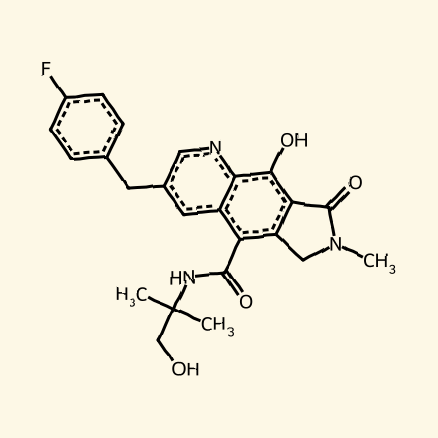 CN1Cc2c(c(O)c3ncc(Cc4ccc(F)cc4)cc3c2C(=O)NC(C)(C)CO)C1=O